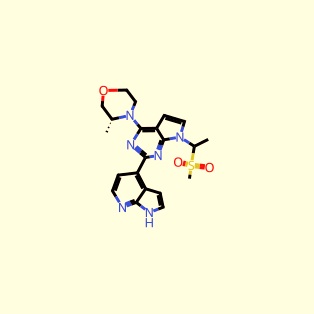 CC(n1ccc2c(N3CCOC[C@H]3C)nc(-c3ccnc4[nH]ccc34)nc21)S(C)(=O)=O